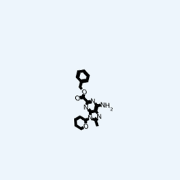 Cc1nc2c(N)nc(C(=O)OCc3ccccc3)nc2n1C1CCCCO1